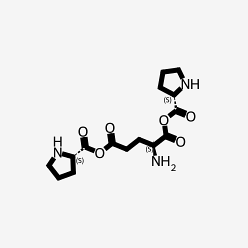 N[C@@H](CCC(=O)OC(=O)[C@@H]1CCCN1)C(=O)OC(=O)[C@@H]1CCCN1